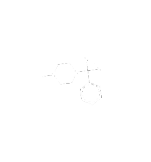 CN1CCN(C(N)(N)c2ccccc2)CC1